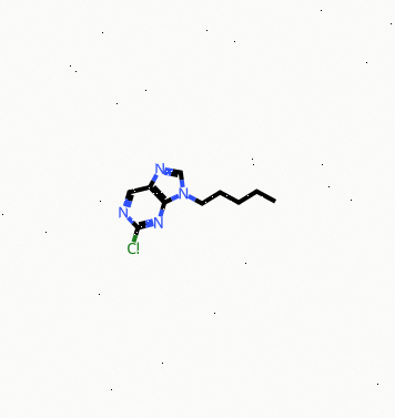 CCCCCn1cnc2cnc(Cl)nc21